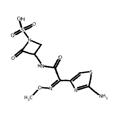 CON=C(C(=O)NC1CN(S(=O)(=O)O)C1=O)c1csc(N)n1